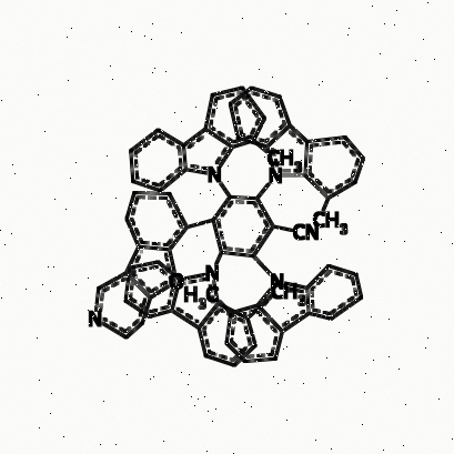 Cc1cccc2c3ccccc3n(-c3c(C#N)c(-n4c5ccccc5c5cccc(C)c54)c(-n4c5ccccc5c5cccc(C)c54)c(-c4cccc5c4oc4ccncc45)c3-n3c4ccccc4c4cccc(C)c43)c12